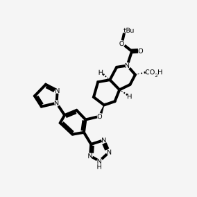 CC(C)(C)OC(=O)N1C[C@@H]2CC[C@H](Oc3cc(-n4cccn4)ccc3-c3nn[nH]n3)C[C@@H]2C[C@H]1C(=O)O